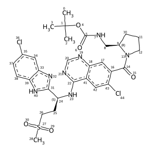 CC(C)(C)OC(=O)NC[C@H]1CCCN1C(=O)c1cc2ncnc(N[C@@H](CCS(C)(=O)=O)c3nc4cc(Cl)ccc4[nH]3)c2cc1Cl